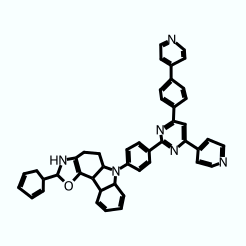 C1=CCC(C2NC3=C(O2)C2C4C=CC=CC4N(c4ccc(-c5nc(-c6ccncc6)cc(-c6ccc(-c7ccncc7)cc6)n5)cc4)C2CC3)C=C1